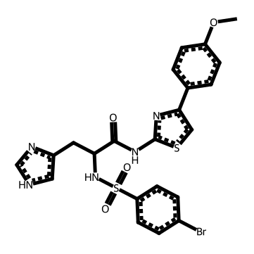 COc1ccc(-c2csc(NC(=O)C(Cc3c[nH]cn3)NS(=O)(=O)c3ccc(Br)cc3)n2)cc1